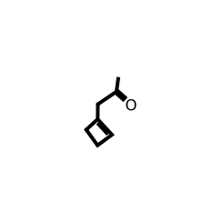 CC(=O)CC1=CCC1